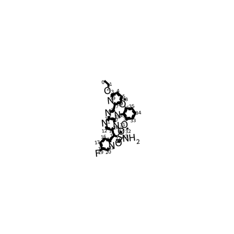 CCOc1cccc(-c2nc3ncc(C(c4ccc(F)cn4)S(N)(=O)=O)nc3n2-c2c(OC)cccc2OC)n1